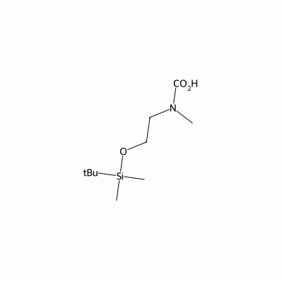 CN(CCO[Si](C)(C)C(C)(C)C)C(=O)O